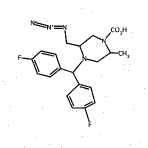 CC1CN(C(c2ccc(F)cc2)c2ccc(F)cc2)C(CN=[N+]=[N-])CN1C(=O)O